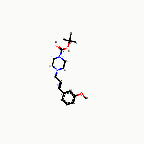 COc1cccc(/C=C/CN2CCN(C(=O)OC(C)(C)C)CC2)c1